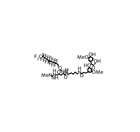 CNC(=N)NCCCC(NC(=O)OCCC(F)(F)C(F)(F)C(F)(F)C(F)(F)C(F)(F)C(F)(F)C(F)(F)C(F)(F)F)C(=O)NCCCCCNC(=O)CCc1ccc(O[C@H](CO)[C@@H](O)c2ccc(O)c(OC)c2)c(OC)c1